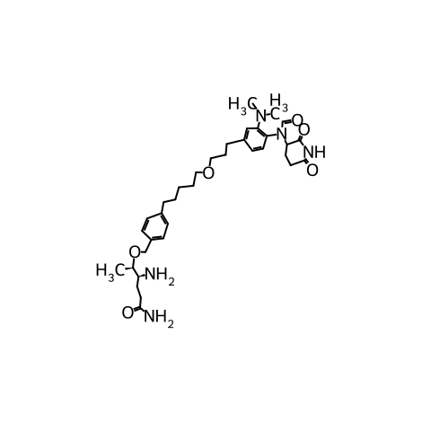 C[C@@H](OCc1ccc(CCCCCOCCCc2ccc(N(C=O)C3CCC(=O)NC3=O)c(N(C)C)c2)cc1)[C@@H](N)CCC(N)=O